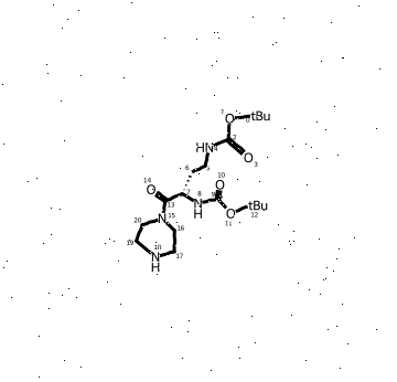 CC(C)(C)OC(=O)NCC[C@H](NC(=O)OC(C)(C)C)C(=O)N1CCNCC1